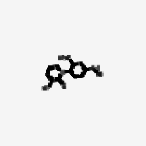 CCCc1cccn(-c2ccc(NO)cc2OC)c1=O